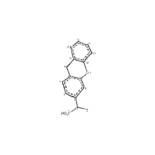 CC(C(=O)O)c1ccc2c(c1)Oc1cccnc1C2